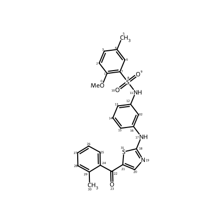 COc1ccc(C)cc1S(=O)(=O)Nc1cccc(Nc2ncc(C(=O)c3ccccc3C)s2)c1